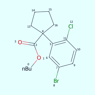 CCCCOC(=O)C1(c2cc(Br)ccc2Cl)CCCC1